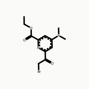 CCOC(=O)c1cc(N(C)C)cc(C(=O)CBr)n1